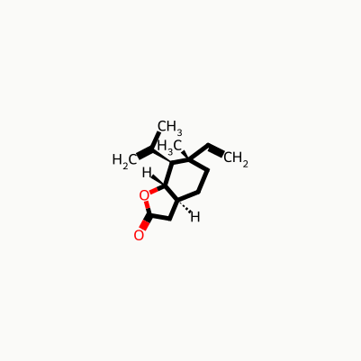 C=C[C@]1(C)CC[C@H]2CC(=O)O[C@@H]2[C@H]1C(=C)C